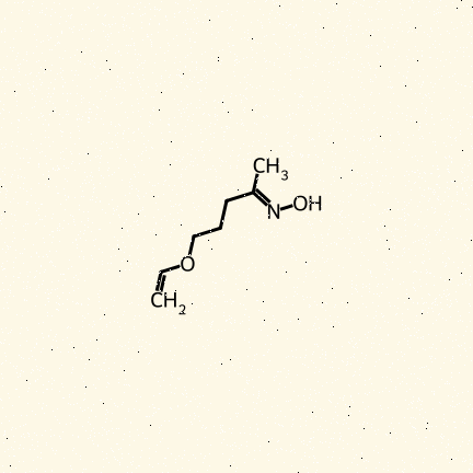 C=COCCCC(C)=NO